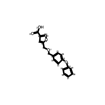 O=C(O)c1cc(COCc2ccc(Oc3ccccc3)cc2)on1